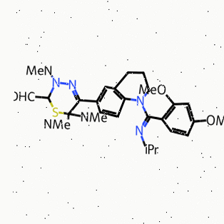 CNN1N=C(c2ccc3c(c2)CCCN3C(=NC(C)C)c2ccc(OC)cc2OC)C(NC)(NC)SC1C=O